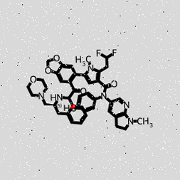 CN1CCc2cc(N(C(=O)c3cc(-c4cc5c(cc4C(=O)C4N[C@H](CN6CCOCC6)Cc6ccccc64)OCO5)n(C)c3CC(F)F)c3ccc(O)cc3)cnc21